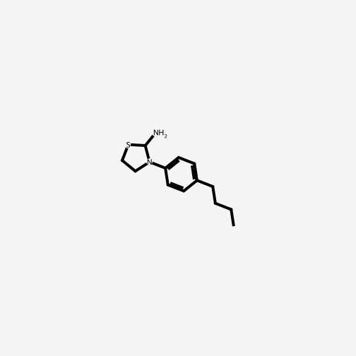 CCCCc1ccc(N2CCSC2N)cc1